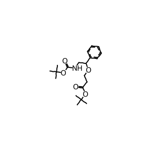 CC(C)(C)OC(=O)CCOC(CNC(=O)OC(C)(C)C)c1ccccc1